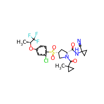 C[C@H](Oc1ccc(S(=O)(=O)[C@@H]2C[C@H](C(=O)NC3(C#N)CC3)N(C(=O)C3(C)CC3)C2)c(Cl)c1)C(F)(F)F